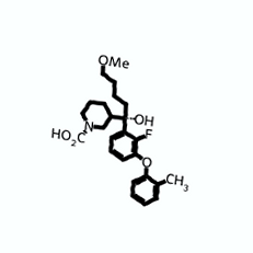 COCCCC[C@@](O)(c1cccc(Oc2ccccc2C)c1F)C1CCCN(C(=O)O)C1